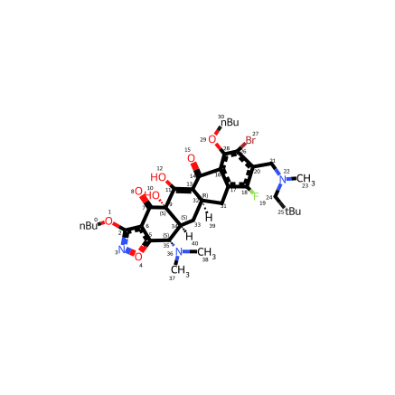 CCCCOc1noc2c1C(=O)[C@@]1(O)C(O)=C3C(=O)c4c(c(F)c(CN(C)CC(C)(C)C)c(Br)c4OCCCC)C[C@H]3C[C@H]1[C@@H]2N(C)C